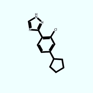 Clc1cc(C2CCCC2)ccc1-c1nc[nH]n1